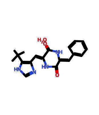 CC(C)(C)c1[nH]cnc1/C=c1\[nH]c(=O)/c(=C/c2ccccc2)[nH]c1=O.O